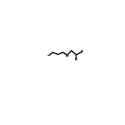 [CH2]CCCOCC(F)F